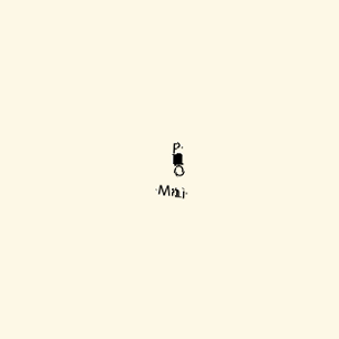 O=[P].[Li].[Mn]